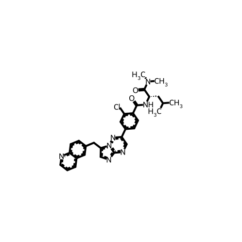 CC(C)C[C@H](NC(=O)c1ccc(-c2cnc3ncc(Cc4ccc5ncccc5c4)n3n2)cc1Cl)C(=O)N(C)C